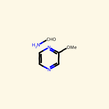 COc1cnccn1.NC=O